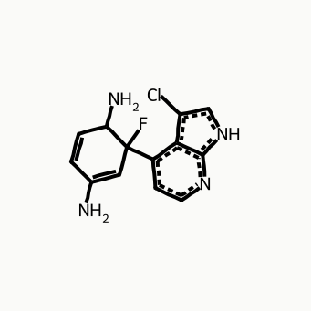 NC1=CC(F)(c2ccnc3[nH]cc(Cl)c23)C(N)C=C1